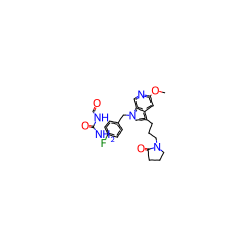 COc1cc2c(CCCN3CCCC3=O)cn(Cc3ccc(F)cc3)c2cn1.NC(=O)NC=O